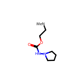 CNCCOC(=O)NN1CCCC1